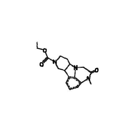 CCOC(=O)N1CCC2C(C1)c1cccc3c1N2CC(=O)N3C